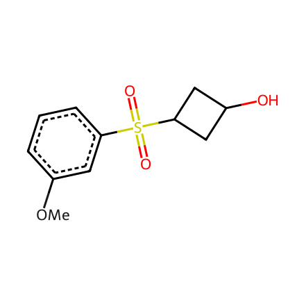 COc1cccc(S(=O)(=O)C2CC(O)C2)c1